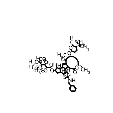 CC[C@H]1CCC[C@H](O[C@H]2CC[C@H](N(C)C)C(C)O2)[C@@H](C)C(=O)C2=C[C@@H]3C(c4nc(NCc5ccccc5)sc4C4C[C@@H](OC(O)C(OC)C(OC)C(OC)C(C)C)C[C@H]43)[C@@H]2CC(=O)O1